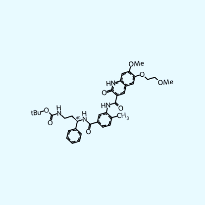 COCCOc1cc2cc(C(=O)Nc3cc(C(=O)N[C@H](CCNC(=O)OC(C)(C)C)c4ccccc4)ccc3C)c(=O)[nH]c2cc1OC